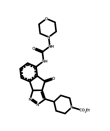 CCOC(=O)N1CCC(C2=C3C(=O)c4c(NC(=O)NN5CCOCC5)cccc4C3N=N2)CC1